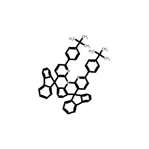 CC(C)(C)c1ccc(-c2ccc3c(n2)N2c4nc(-c5ccc(C(C)(C)C)cc5)ccc4C4(c5ccccc5-c5ccccc54)c4cccc(c42)C32c3ccccc3-c3ccccc32)cc1